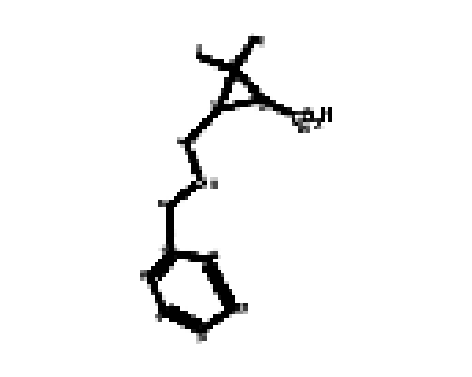 CC1(C)C(CSCc2ccccc2)C1C(=O)O